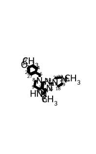 COc1ccc(CN2CCC3NN(C)c4nc(N5CCN(C)CC5)nc2c43)cc1